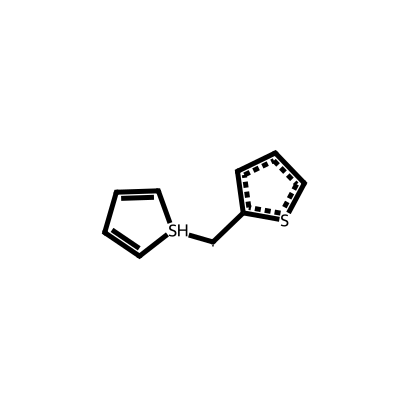 [CH](c1cccs1)[SH]1C=CC=C1